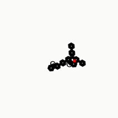 c1ccc(-c2ccc(N(c3ccc(-c4ccccc4)cc3)c3ccc(-c4ccc(-c5ccc6c(c5)oc5ccccc56)cc4)c4oc5ccccc5c34)cc2)cc1